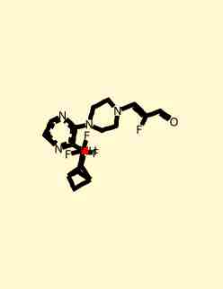 O=CC(F)=CN1CCN(c2nccnc2NC2C3CC2C3C(F)(F)F)CC1